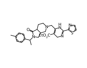 CCOC(=O)C1=C(CN2CCC3C(=O)N(C(C)c4ccc(C)cc4)CC3C2)NC(c2nccs2)=NC1